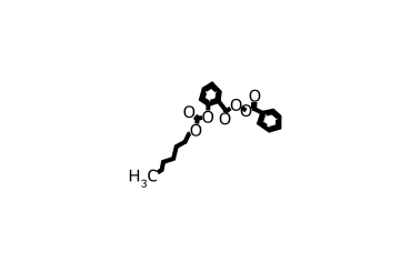 CCCCCCCOC(=O)Oc1ccccc1C(=O)OOC(=O)c1ccccc1